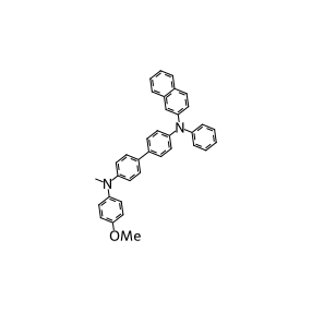 COc1ccc(N(C)c2ccc(-c3ccc(N(c4ccccc4)c4ccc5ccccc5c4)cc3)cc2)cc1